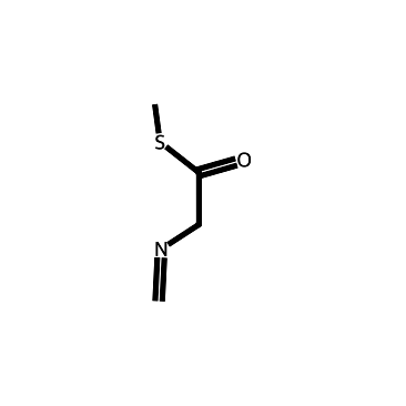 C=NCC(=O)SC